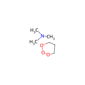 C1COOOC1.CN(C)C